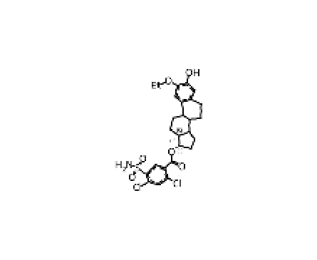 CCOc1cc2c(cc1O)CCC1C2CC[C@@]2(C)C1CC[C@@H]2OC(=O)c1cc(S(N)(=O)=O)c(Cl)cc1Cl